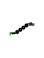 CCCCc1ccc(C2CCC(C3CCC([C@H]4CC[C@H](CCCCF)CC4)CC3)CC2)cc1